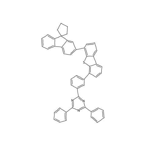 c1ccc(-c2nc(-c3ccccc3)nc(-c3cccc(-c4cccc5c4sc4c(-c6ccc7c(c6)C6(CCCC6)c6ccccc6-7)cccc45)c3)n2)cc1